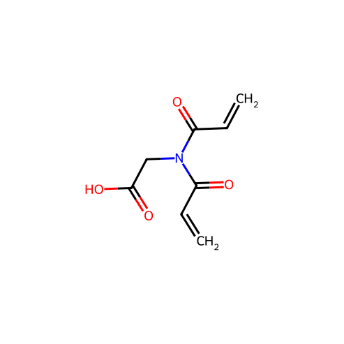 C=CC(=O)N(CC(=O)O)C(=O)C=C